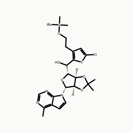 Cc1ncnc2c1ccn2[C@@H]1O[C@H](C(O)c2sc(Cl)cc2CCO[Si](C)(C)C(C)(C)C)[C@H]2OC(C)(C)O[C@H]21